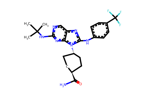 CC(C)(C)Nc1ncc2nc(Nc3ccc(C(F)(F)F)cc3)n([C@H]3CC[C@H](C(N)=O)CC3)c2n1